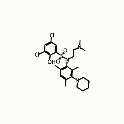 Cc1cc(C)c(N(CCN(C)C)S(=O)(=O)c2cc(Cl)cc(Cl)c2O)c(C)c1N1CCCCC1